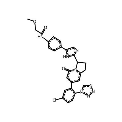 COCC(=O)Nc1ccc(-c2cnc(C3CCc4cc(-c5cc(Cl)ccc5-n5cnnn5)cc(=O)n43)[nH]2)cc1